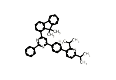 CC(C)c1ccc(-c2ccc(-c3cc(-c4cccc5c4C(C)(C)c4ccccc4-5)nc(-c4ccccc4)n3)cc2)c(C(C)C)n1